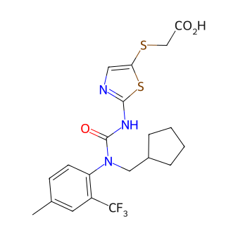 Cc1ccc(N(CC2CCCC2)C(=O)Nc2ncc(SCC(=O)O)s2)c(C(F)(F)F)c1